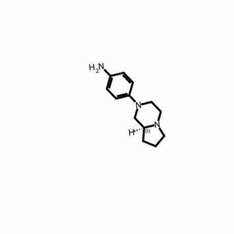 Nc1ccc(N2CCN3CCC[C@H]3C2)cc1